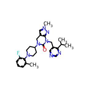 Cc1cccc(F)c1N1CCC(N2Cc3cn(C)nc3N(Cc3cncnc3C(C)C)C2=O)CC1